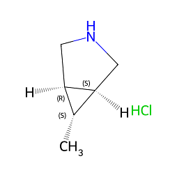 C[C@@H]1[C@H]2CNC[C@@H]12.Cl